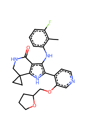 Cc1c(F)cccc1Nc1c(-c2ccncc2OCC2CCCO2)[nH]c2c1C(=O)NCC21CC1